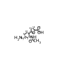 CC(=O)Nc1cc(CN)ccc1-c1ccc(C(=O)O)o1